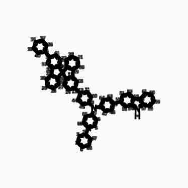 c1ccc(-c2ccc(N(c3ccc(-c4ccc5c(c4)-c4ccccc4C54c5ccccc5-c5cc(-c6ccccc6)ccc54)cc3)c3ccc(-c4ccc5c(c4)[nH]c4ccccc45)cc3)cc2)cc1